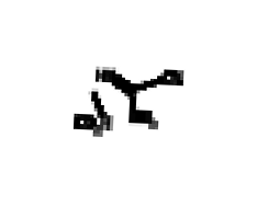 CC(=O)O.N#CC(=N)N